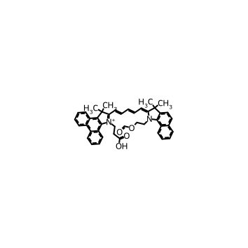 CC1(C)C(/C=C/C=C/C=C2\N(CCOC=O)c3c(ccc4ccccc34)C2(C)C)=[N+](CCC(=O)O)c2c1c1ccccc1c1ccccc21